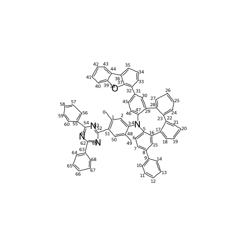 Cc1cc(-n2c3ccc(-c4ccccc4)cc3c3ccccc3c3ccccc3c3cc(-c4cccc5c4oc4ccccc45)ccc32)c(C)cc1-c1nc(-c2ccccc2)nc(-c2ccccc2)n1